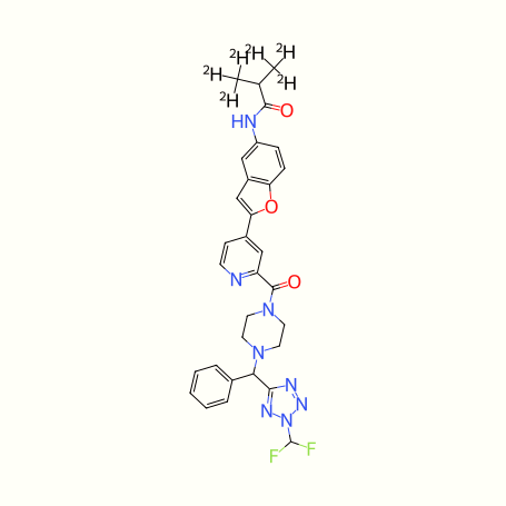 [2H]C([2H])([2H])C(C(=O)Nc1ccc2oc(-c3ccnc(C(=O)N4CCN(C(c5ccccc5)c5nnn(C(F)F)n5)CC4)c3)cc2c1)C([2H])([2H])[2H]